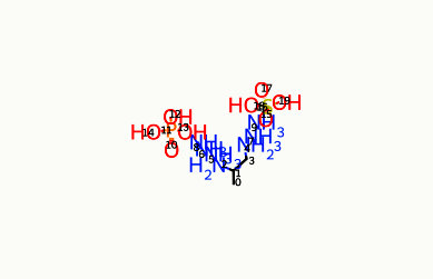 CC(N)CN.N.N.N.N.N.O=P(O)(O)O.O=S(=O)(O)O